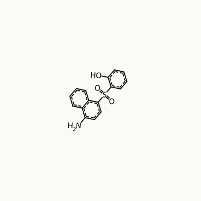 Nc1ccc(S(=O)(=O)c2ccccc2O)c2ccccc12